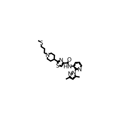 CSCCCN1CCC(c2nc(C(=O)Nc3cccnc3-n3nc(C)cc3C)cs2)CC1